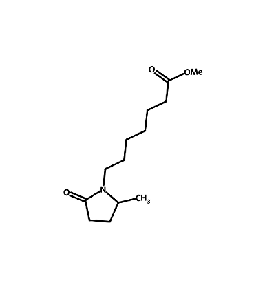 COC(=O)CCCCCCN1C(=O)CCC1C